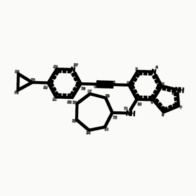 C(#Cc1cnc2[nH]ccc2c1NC1CCCCCC1)c1ccc(C2CC2)cn1